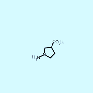 NN1CC[C@H](C(=O)O)C1